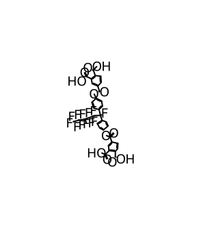 O=C(Oc1ccc(C(F)(c2ccc(OC(=O)c3ccc(C(=O)O)c(C(=O)O)c3)cc2)C(F)(F)C(F)(F)C(F)(F)C(F)(F)C(F)(F)F)cc1)c1ccc(C(=O)O)c(C(=O)O)c1